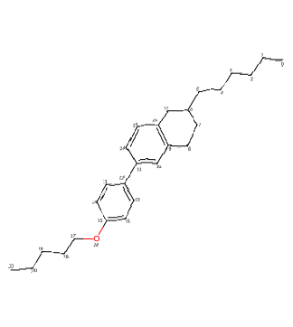 CCCCCCC1CCc2cc(-c3ccc(OCCCCC)cc3)ccc2C1